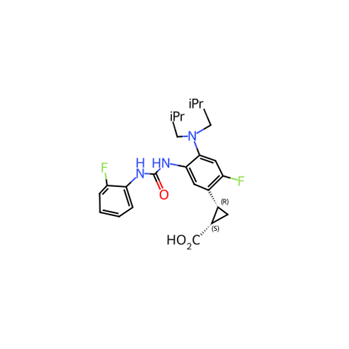 CC(C)CN(CC(C)C)c1cc(F)c([C@@H]2C[C@@H]2C(=O)O)cc1NC(=O)Nc1ccccc1F